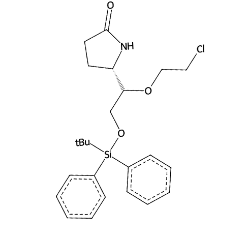 CC(C)(C)[Si](OCC(OCCCl)[C@@H]1CCC(=O)N1)(c1ccccc1)c1ccccc1